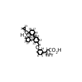 CCC[C@@H](CC(=O)O)c1cccc(OCc2ccc(-c3cccc(OC4CC4)c3)c([C@@H]3CCCC3(C)C)c2)c1